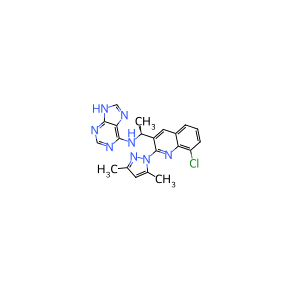 Cc1cc(C)n(-c2nc3c(Cl)cccc3cc2[C@H](C)Nc2ncnc3[nH]cnc23)n1